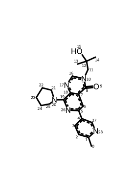 Cc1ccc(-c2cc3c(=O)n(CC(C)(C)O)cnc3c(N3CCCCC3)n2)cn1